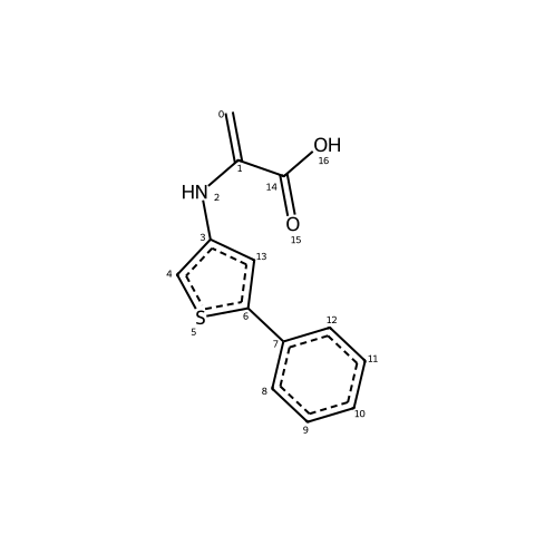 C=C(Nc1csc(-c2ccccc2)c1)C(=O)O